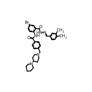 Cc1ccc(C=NNC(=O)c2cc(Br)ccc2NC(=O)c2ccc(CN3CCC(N4CCCCC4)CC3)cc2)cc1C